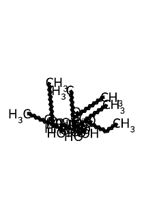 CCCCCCCCCCCCCCCC(=O)O[C@H](CCCCCCCCCCC)CC(=O)NC1C(O)[C@H](O)C(CO[C@@H]2OC(CO)[C@@H](OP(=O)(O)O)C(OC(=O)C[C@@H](CCCCCCCCCCC)OC(=O)CCCCCCCCCCCCC)C2NC(=O)C[C@@H](CCCCCCCCCCC)OC(=O)CCCCCCCCCCCCC)O[C@@H]1O